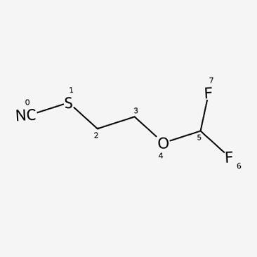 N#CSCCOC(F)F